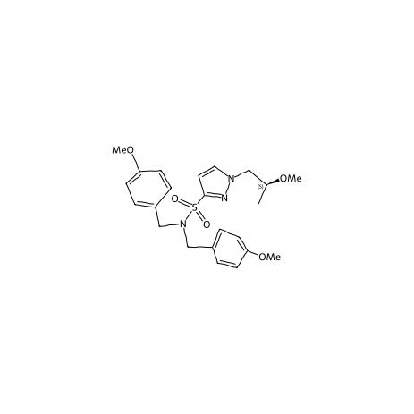 COc1ccc(CN(Cc2ccc(OC)cc2)S(=O)(=O)c2ccn(C[C@H](C)OC)n2)cc1